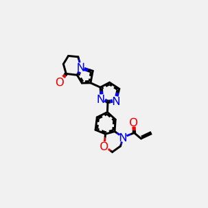 C=CC(=O)N1CCOc2ccc(-c3nccc(-c4cc5n(c4)CCCC5=O)n3)cc21